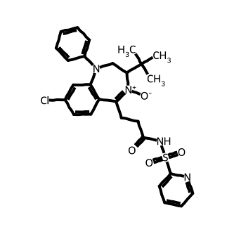 CC(C)(C)C1CN(c2ccccc2)c2cc(Cl)ccc2C(CCC(=O)NS(=O)(=O)c2ccccn2)=[N+]1[O-]